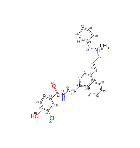 CN(C/C=C/c1ccc(/C=N/NC(=O)c2ccc(O)c(Cl)c2)c2ccccc12)Cc1ccccc1